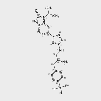 CC(C)n1c(=O)[nH]c2ccc(-c3nnc(NC[C@@H](N)Cc4ccc(C(F)(F)F)cc4)s3)cc21